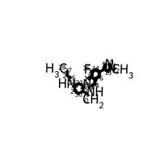 C=C(Nc1cc2cc(-c3cnn(C)c3)cc(F)c2cn1)C1CCC(NCCCC)CC1